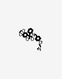 CN(C)CCOc1ccc(CN2C(=O)C3(COc4cc5c(cc43)OCCO5)c3ccccc32)cc1